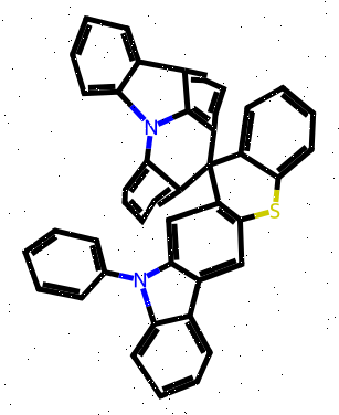 c1ccc(-n2c3ccccc3c3cc4c(cc32)C2(c3ccccc3S4)c3ccccc3-n3c4ccccc4c4cccc2c43)cc1